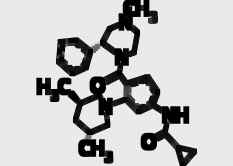 C[C@@H]1C[C@@H](C)CN(c2cc(NC(=O)C3CC3)ccc2C(=O)N2CCN(C)C[C@H]2c2ccccc2)C1